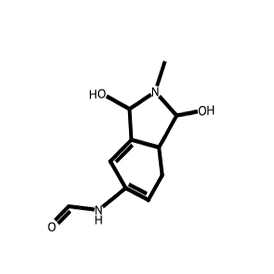 CN1C(O)C2=CC(NC=O)=CCC2C1O